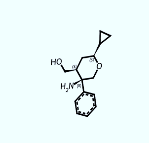 N[C@]1(c2ccccc2)CO[C@H](C2CC2)C[C@@H]1CO